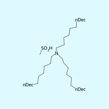 CCCCCCCCCCCCCCCCN(CCCCCCCCCCCCCCCC)CCCCCCCCCCCCCCCC.CS(=O)(=O)O